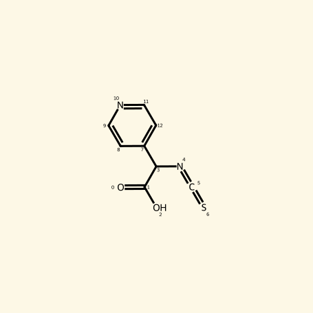 O=C(O)C(N=C=S)c1ccncc1